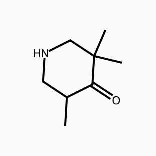 CC1CNCC(C)(C)C1=O